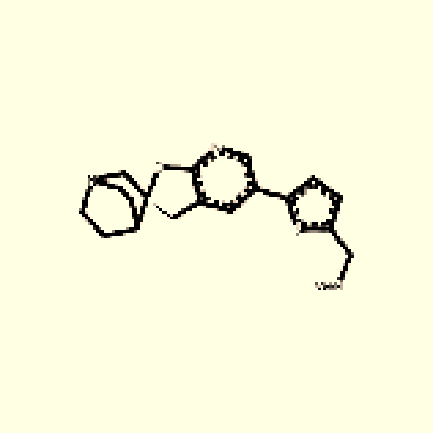 CNCc1ccc(-c2cnc3c(c2)C[C@]2(CN4CCC2CC4)O3)s1